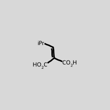 CC(C)C=C(C(=O)O)C(=O)O